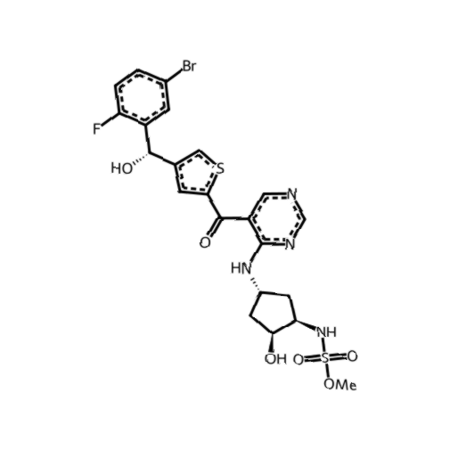 COS(=O)(=O)N[C@@H]1C[C@@H](Nc2ncncc2C(=O)c2cc([C@H](O)c3cc(Br)ccc3F)cs2)C[C@@H]1O